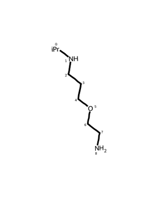 CC(C)NCCCOCCN